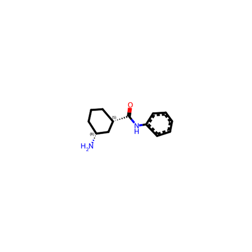 N[C@@H]1CCC[C@H](C(=O)Nc2ccccc2)C1